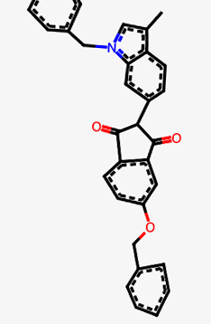 Cc1cn(Cc2ccccc2)c2cc(C3C(=O)c4ccc(OCc5ccccc5)cc4C3=O)ccc12